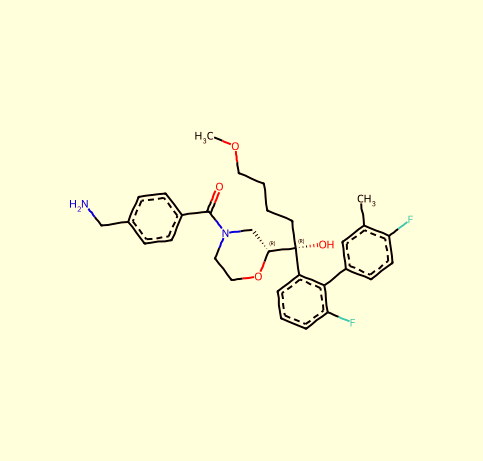 COCCCC[C@@](O)(c1cccc(F)c1-c1ccc(F)c(C)c1)[C@H]1CN(C(=O)c2ccc(CN)cc2)CCO1